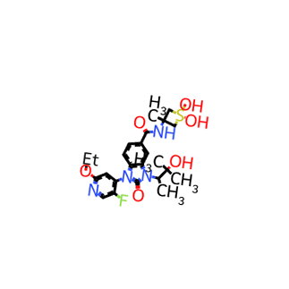 CCOc1cc(-n2c(=O)n(C(C)C(C)(C)O)c3cc(C(=O)NC4(C)CS(O)(O)C4)ccc32)c(F)cn1